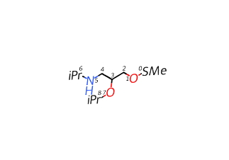 CSOCC(CNC(C)C)OC(C)C